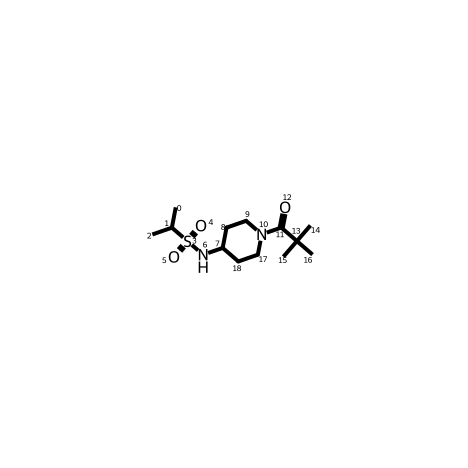 CC(C)S(=O)(=O)NC1CCN(C(=O)C(C)(C)C)CC1